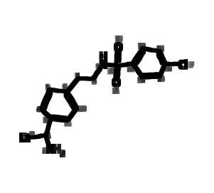 CCC(N)c1ccc(CCNS(=O)(=O)c2ccc(Cl)cc2)cc1